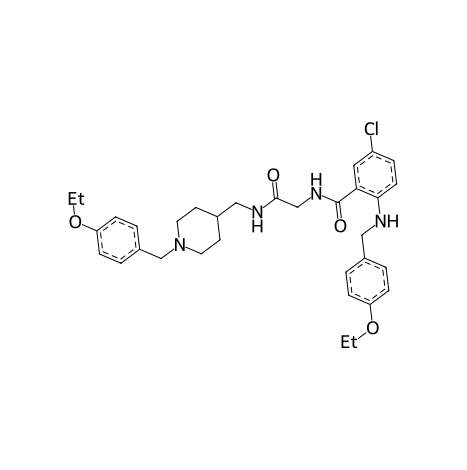 CCOc1ccc(CNc2ccc(Cl)cc2C(=O)NCC(=O)NCC2CCN(Cc3ccc(OCC)cc3)CC2)cc1